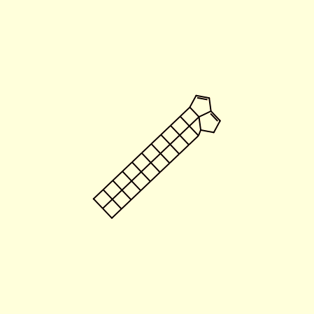 C1=CC2C3C4C5C6C7C8C9C%10C%11CC%12CC%13C%14C%15C%16C%17C%18C%19C%20C%21C%22CC=C1C2%22C3%21C4%20C5%19C6%18C7%17C8%16C9%15C%10%14C%12%11%13